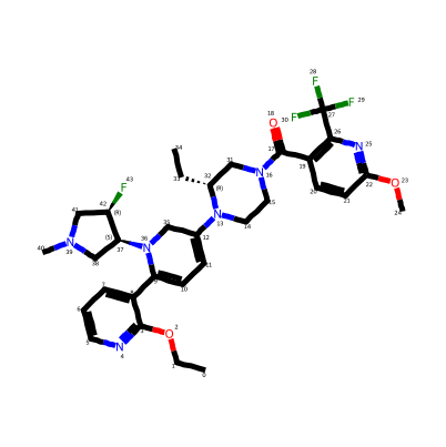 CCOc1ncccc1C1=CC=C(N2CCN(C(=O)c3ccc(OC)nc3C(F)(F)F)C[C@H]2CC)CN1[C@H]1CN(C)C[C@H]1F